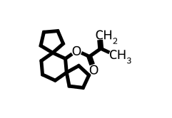 C=C(C)C(=O)OC1C2(CCCC2)CCCC12CCCC2